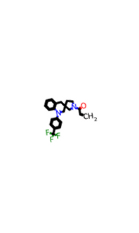 C=CC(=O)N1CCC2(Cc3ccccc3N(c3ccc(C(F)(F)F)cc3)C2)C1